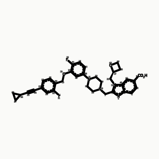 O=C(O)c1ccc2nc(CN3CCN(c4ccc(F)c(OCc5ccc(C#CC6CC6)cc5F)c4)CC3)n(C[C@@H]3CCO3)c2c1